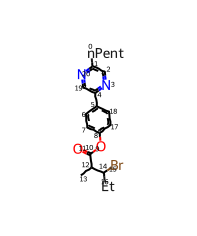 CCCCCc1cnc(-c2ccc(OC(=O)C(C)C(Br)CC)cc2)cn1